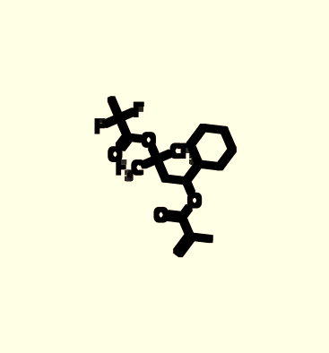 C=C(C)C(=O)OC(CC(OC(=O)C(C)(F)F)(C(F)(F)F)C(F)(F)F)C1CCCCC1